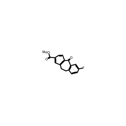 COC(=O)c1ccc2c(c1)CCc1ccc(F)cc1C2=O